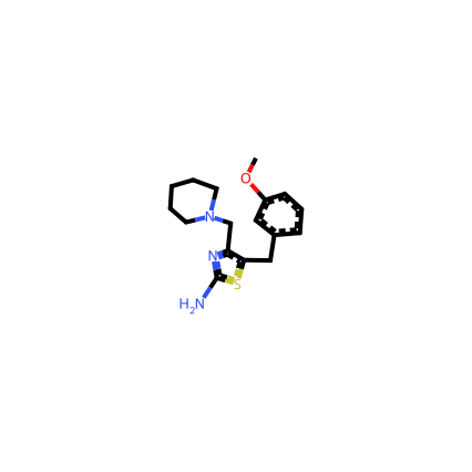 COc1cccc(Cc2sc(N)nc2CN2CCCCC2)c1